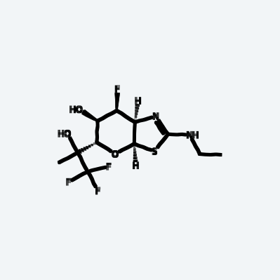 CCNC1=N[C@@H]2[C@H](F)[C@H](O)[C@@H](C(C)(O)C(F)(F)F)O[C@@H]2S1